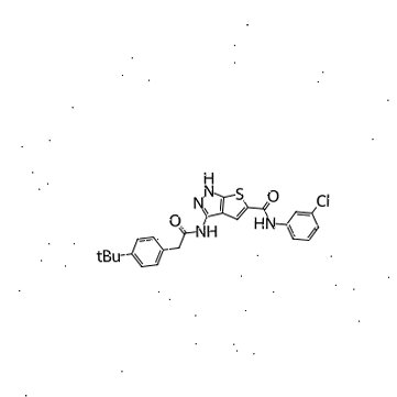 CC(C)(C)c1ccc(CC(=O)Nc2n[nH]c3sc(C(=O)Nc4cccc(Cl)c4)cc23)cc1